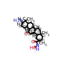 CC1(C)C2CC[C@]3(C)[C@H](C(=O)C=C4[C@@H]5C[C@@](C)(C(=O)NO)CC[C@]5(C)CC[C@]43C)[C@@]2(C)CC[C@@H]1N